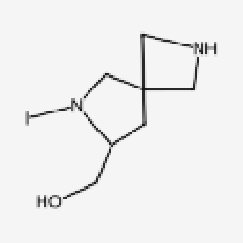 OCC1CC2(CNC2)CN1I